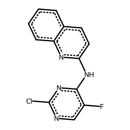 Fc1cnc(Cl)nc1Nc1ccc2ccccc2n1